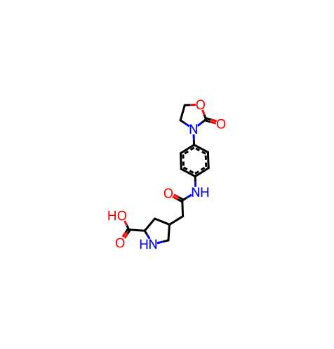 O=C(CC1CNC(C(=O)O)C1)Nc1ccc(N2CCOC2=O)cc1